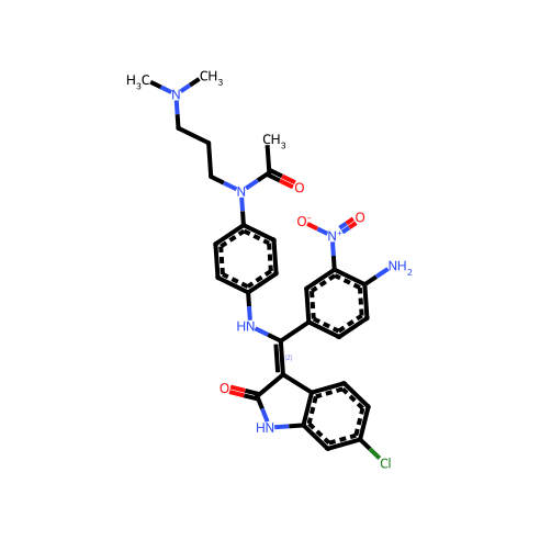 CC(=O)N(CCCN(C)C)c1ccc(N/C(=C2\C(=O)Nc3cc(Cl)ccc32)c2ccc(N)c([N+](=O)[O-])c2)cc1